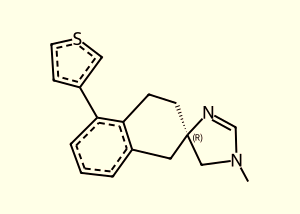 CN1C=N[C@@]2(CCc3c(cccc3-c3ccsc3)C2)C1